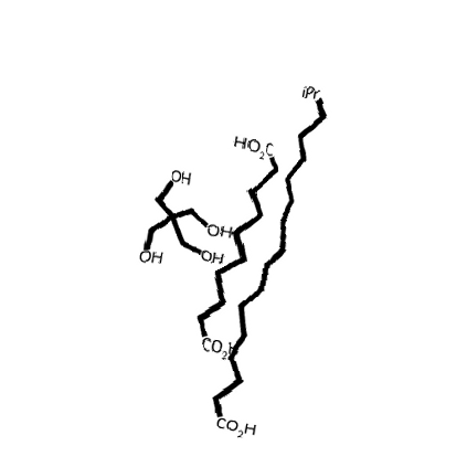 CC(C)CCCCCCCCCCCCCCC(=O)O.O=C(O)CCCCCCCCC(=O)O.OCC(CO)(CO)CO